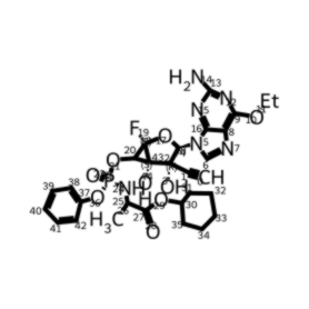 C#C[C@]1(O)[C@H](n2cnc3c(OCC)nc(N)nc32)O[C@]2(F)C(O[P@](=O)(NC(C)C(=O)OC3CCCCC3)Oc3ccccc3)[C@@]21O